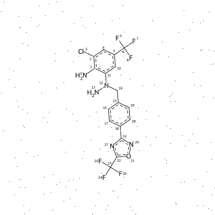 Nc1c(Cl)cc(C(F)(F)F)cc1N(N)Cc1ccc(-c2noc(C(F)(F)F)n2)cc1